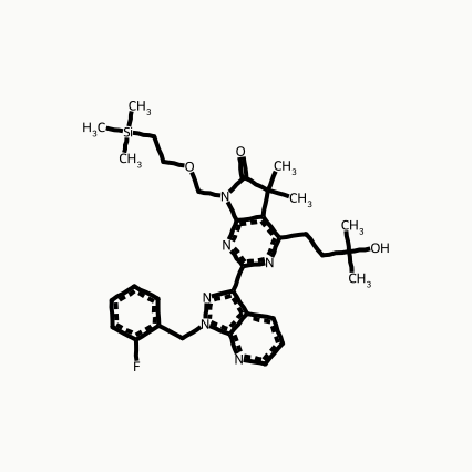 CC(C)(O)CCc1nc(-c2nn(Cc3ccccc3F)c3ncccc23)nc2c1C(C)(C)C(=O)N2COCC[Si](C)(C)C